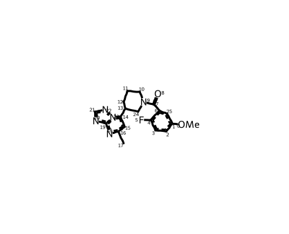 COc1ccc(F)c(C(=O)N2CCCC(c3cc(C)nc4ncnn34)C2)c1